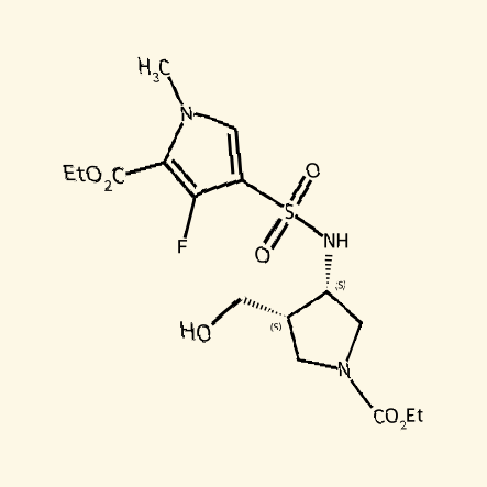 CCOC(=O)c1c(F)c(S(=O)(=O)N[C@@H]2CN(C(=O)OCC)C[C@@H]2CO)cn1C